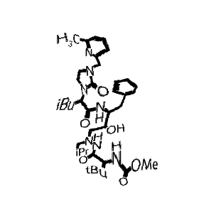 CCC(C)C(C(=O)NC(Cc1ccccc1)C(O)CN(CC(C)C)NC(=O)C(NC(=O)OC)C(C)(C)C)N1CCN(Cc2cccc(C)n2)C1=O